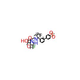 CC(C)C[C@H](N[C@@H](c1cccc(-c2ccc(S(C)(=O)=O)cc2)c1)C(F)(F)F)C(=O)N1C[C@H](F)[C@H]2OC[C@H](O)[C@H]21